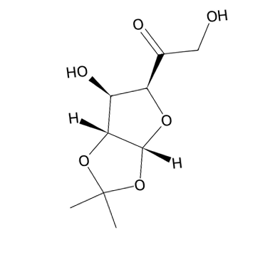 CC1(C)O[C@H]2O[C@H](C(=O)CO)[C@H](O)[C@H]2O1